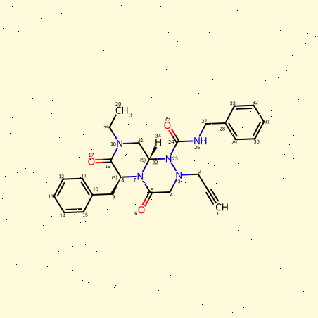 C#CCN1CC(=O)N2[C@@H](Cc3ccccc3)C(=O)N(CC)C[C@@H]2N1C(=O)NCc1ccccc1